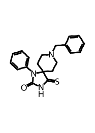 O=C1NC(=S)C2(CCN(Cc3ccccc3)CC2)N1c1ccccc1